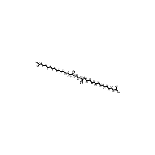 CC(C)CCCCCCCCCCCCCCC(=O)NCCNC(=O)CCCCCCCCCCCCCCC(C)C